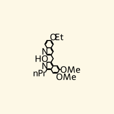 CCCc1ncc(Cc2cc3cc(OCC)ccc3nc2O)c2cc(OC)c(OC)cc12